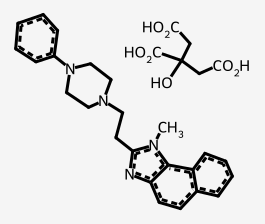 Cn1c(CCN2CCN(c3ccccc3)CC2)nc2ccc3ccccc3c21.O=C(O)CC(O)(CC(=O)O)C(=O)O